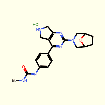 CCNC(=O)Nc1ccc(-c2nc(N3CC4CCC(C3)O4)nc3c2CNC3)cc1.Cl